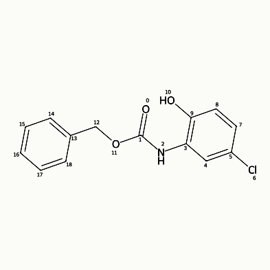 O=C(Nc1cc(Cl)ccc1O)OCc1ccccc1